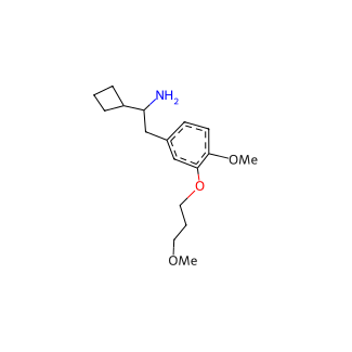 COCCCOc1cc(CC(N)C2CCC2)ccc1OC